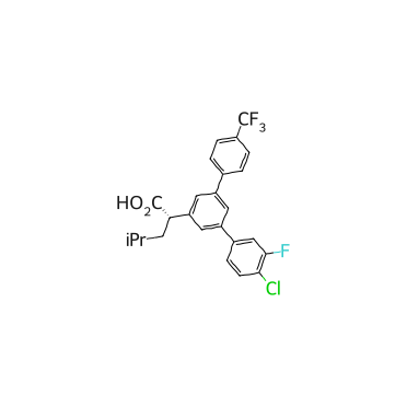 CC(C)C[C@H](C(=O)O)c1cc(-c2ccc(C(F)(F)F)cc2)cc(-c2ccc(Cl)c(F)c2)c1